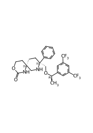 C[C@@H](OC[C@@]1(c2ccccc2)CC[C@]2(CCOC(=O)N2)CN1)c1cc(C(F)(F)F)cc(C(F)(F)F)c1